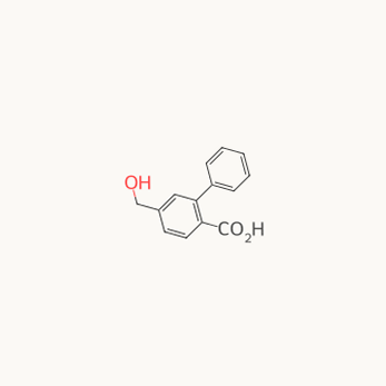 O=C(O)c1ccc(CO)cc1-c1ccccc1